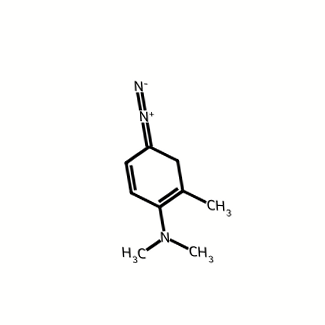 CC1=C(N(C)C)C=CC(=[N+]=[N-])C1